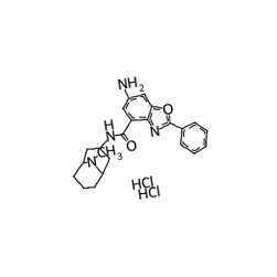 CN1C2CCCC1CC(NC(=O)c1cc(N)cc3oc(-c4ccccc4)nc13)C2.Cl.Cl